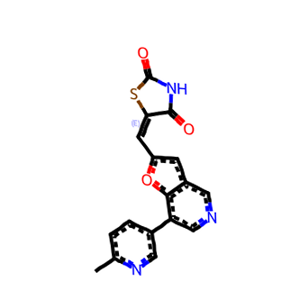 Cc1ccc(-c2cncc3cc(/C=C4/SC(=O)NC4=O)oc23)cn1